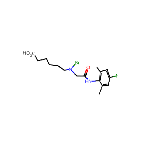 Cc1cc(F)cc(C)c1NC(=O)CN(Br)CCCCCC(=O)O